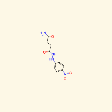 NC(=O)CCC(=O)NNc1ccc([N+](=O)[O-])cc1